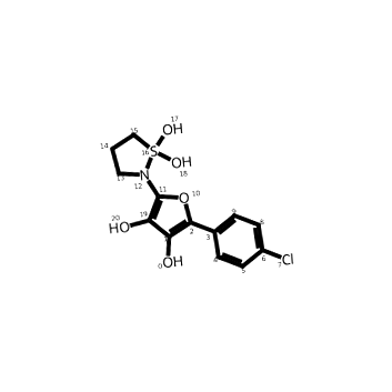 Oc1c(-c2ccc(Cl)cc2)oc(N2CCCS2(O)O)c1O